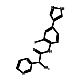 NC(C(=O)Nc1ccc(-c2cn[nH]c2)cc1F)c1cccnc1